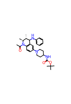 CC(=O)N1c2ccc(N3CCC(NC(=O)OC(C)(C)C)CC3)cc2C(Nc2ccccc2)[C@@H](C)[C@@H]1C